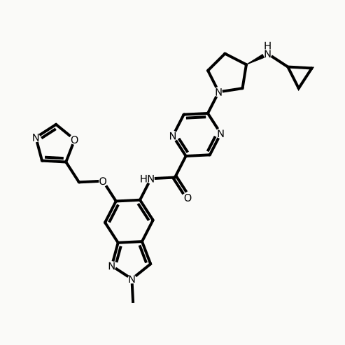 Cn1cc2cc(NC(=O)c3cnc(N4CC[C@@H](NC5CC5)C4)cn3)c(OCc3cnco3)cc2n1